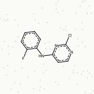 Fc1ccccc1Nc1ccnc(Cl)n1